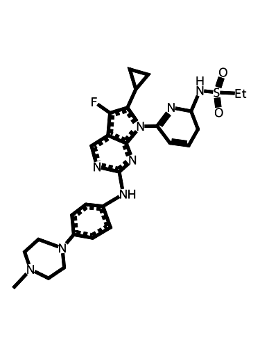 CCS(=O)(=O)NC1CC=CC(n2c(C3CC3)c(F)c3cnc(Nc4ccc(N5CCN(C)CC5)cc4)nc32)=N1